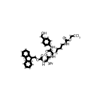 CC(C)[C@H](NC(=O)OCC1c2ccccc2-c2ccccc21)C(=O)N[C@@H](CCCCNC(=O)OCC(Cl)(Cl)Cl)C(=O)Nc1ccc(CO)cc1